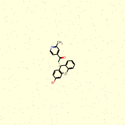 Cc1cc(C(=O)C[C@@H](c2ccc(Br)cc2)c2ccccc2C)ccn1